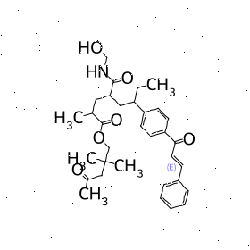 CCC(CC(CC(C)C(=O)OCC(C)(C)CC(C)=O)C(=O)NCO)c1ccc(C(=O)/C=C/c2ccccc2)cc1